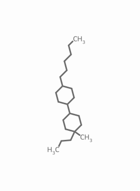 CCCCCCC1CCC(C2CCC(C)(CCC)CC2)CC1